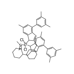 Cc1cc(C)cc(-c2cc(C)cc3c2C=C(CC2CCCCC2)[CH]3[Zr]([Cl])([Cl])([CH]2C(CC3CCCCC3)=Cc3c(-c4cc(C)cc(C)c4)cc(C)cc32)[SiH](C)C)c1